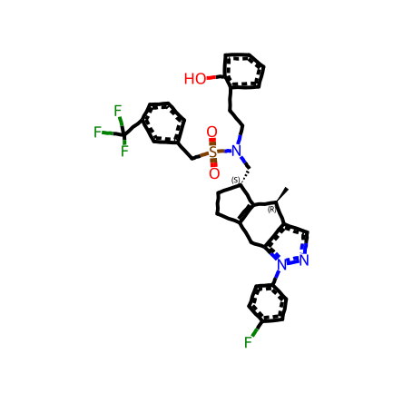 C[C@@H]1C2=C(CC[C@@H]2CN(CCc2ccccc2O)S(=O)(=O)Cc2cccc(C(F)(F)F)c2)Cc2c1cnn2-c1ccc(F)cc1